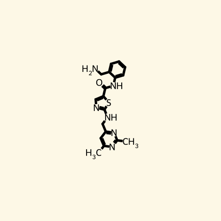 Cc1cc(CNc2ncc(C(=O)Nc3ccccc3CN)s2)nc(C)n1